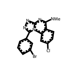 CNc1nc2nnc(-c3cccc(Br)c3)n2c2cc(Cl)ccc12